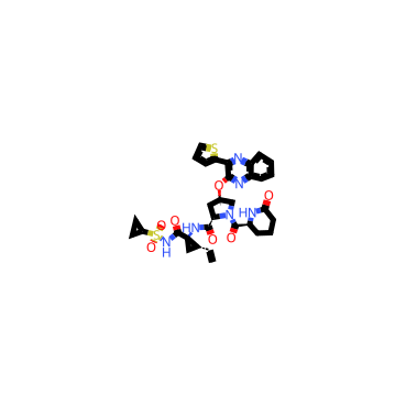 C=C[C@@H]1C[C@]1(NC(=O)[C@@H]1C[C@@H](Oc2nc3ccccc3nc2-c2cccs2)CN1C(=O)[C@@H]1CCCC(=O)N1)C(=O)NS(=O)(=O)C1CC1